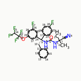 CC(C)(C#N)NC(=O)N[C@](Cc1ccccc1)(c1ccc(F)cc1)c1cc(F)cc(OC(F)(F)C(F)F)c1